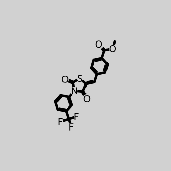 COC(=O)c1ccc(/C=C2\SC(=O)N(c3cccc(C(F)(F)F)c3)C2=O)cc1